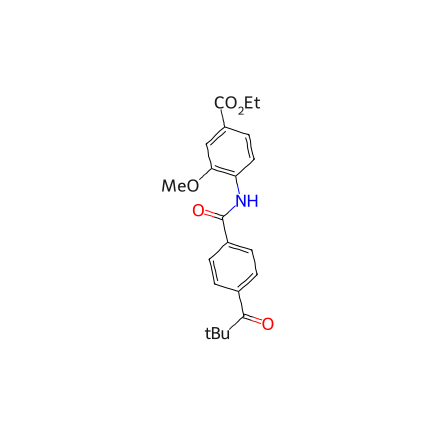 CCOC(=O)c1ccc(NC(=O)c2ccc(C(=O)C(C)(C)C)cc2)c(OC)c1